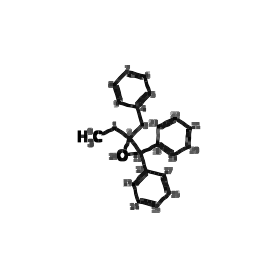 CCC1(Cc2ccccc2)OC1(c1ccccc1)c1ccccc1